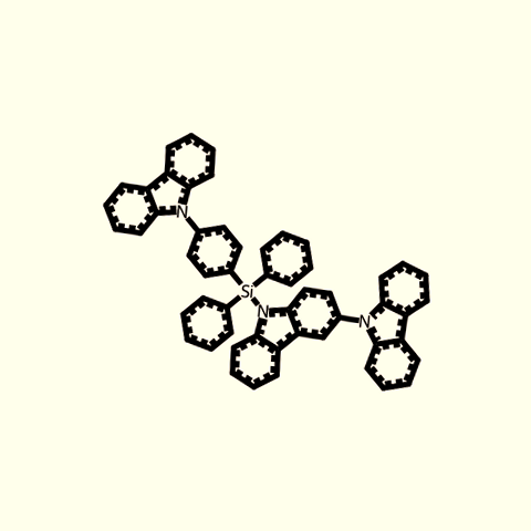 c1ccc([Si](c2ccccc2)(c2ccc(-n3c4ccccc4c4ccccc43)cc2)n2c3ccccc3c3cc(-n4c5ccccc5c5ccccc54)ccc32)cc1